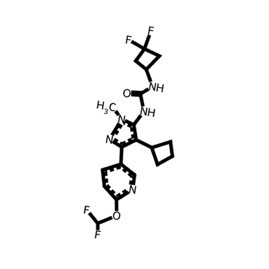 Cn1nc(-c2ccc(OC(F)F)nc2)c(C2CCC2)c1NC(=O)NC1CC(F)(F)C1